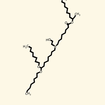 CCCCCCCCOC(CCCCCCCN(CCO)CCCCCCCC(=O)OC(CC)CCCCCCCC)OCCCCCCCC